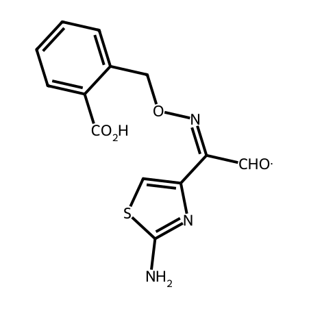 Nc1nc(C([C]=O)=NOCc2ccccc2C(=O)O)cs1